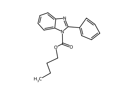 CCCCOC(=O)n1c(-c2ccccc2)nc2ccccc21